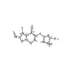 C=Nc1cc2cnn(Cc3cc(F)[nH]n3)c(=O)c2n1C